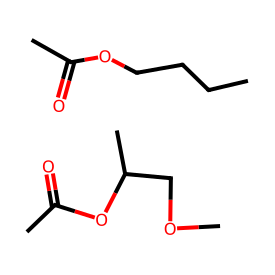 CCCCOC(C)=O.COCC(C)OC(C)=O